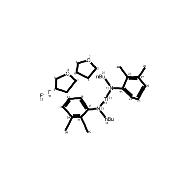 C1CCOC1.C1CCOC1.CCCC[N]([Ti+2][N](CCCC)c1cccc(C)c1C)c1cccc(C)c1C.[F-].[F-]